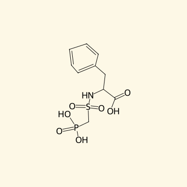 O=C(O)C(Cc1ccccc1)NS(=O)(=O)CP(=O)(O)O